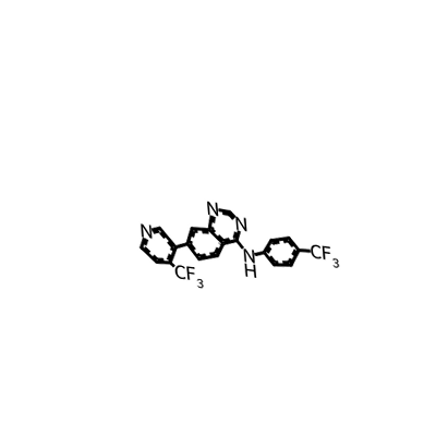 FC(F)(F)c1ccc(Nc2ncnc3cc(-c4cnccc4C(F)(F)F)ccc23)cc1